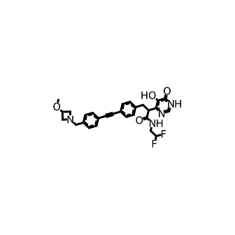 COC1CN(Cc2ccc(C#Cc3ccc(CC(C(=O)NCC(F)F)c4nc[nH]c(=O)c4O)cc3)cc2)C1